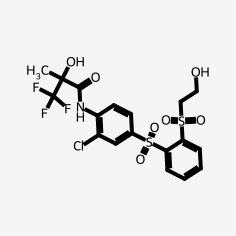 CC(O)(C(=O)Nc1ccc(S(=O)(=O)c2ccccc2S(=O)(=O)CCO)cc1Cl)C(F)(F)F